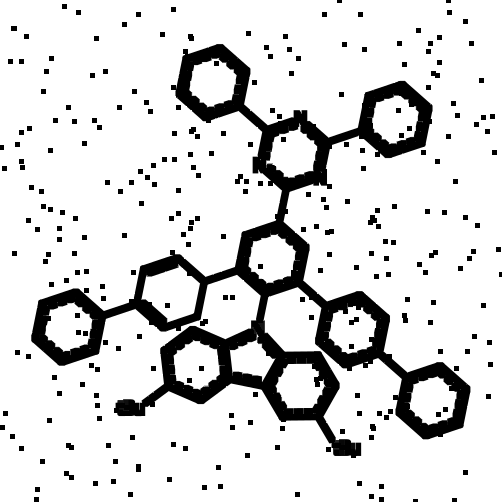 CC(C)(C)c1ccc2c(c1)c1cc(C(C)(C)C)ccc1n2-c1c(-c2ccc(-c3ccccc3)cc2)cc(-c2nc(-c3ccccc3)nc(-c3ccccc3)n2)cc1C1C=CC(c2ccccc2)=CC1